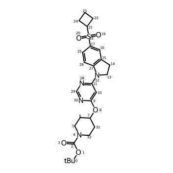 CC(C)(C)OC(=O)N1CCC(Oc2cc(N3CCc4cc(S(=O)(=O)C5CCC5)ccc43)ncn2)CC1